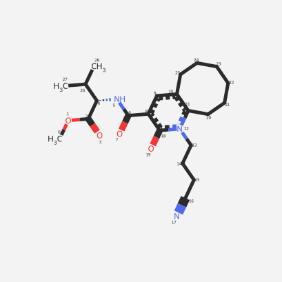 COC(=O)[C@@H](NC(=O)c1cc2c(n(CCCC#N)c1=O)CCCCCC2)C(C)C